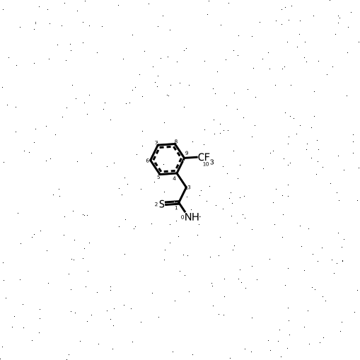 [NH]C(=S)Cc1ccccc1C(F)(F)F